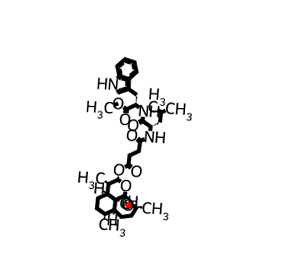 COC(=O)[C@H](Cc1c[nH]c2ccccc12)NC(=O)[C@H](CC(C)C)NC(=O)CCC(=O)O[C@@H]1O[C@@H]2O[C@@]3(C)CC[C@H]4[C@H](C)CC[C@@H]([C@H]1C)[C@@]24OO3